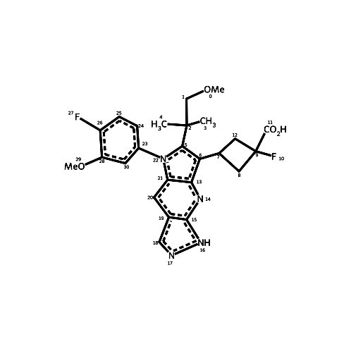 COCC(C)(C)c1c(C2CC(F)(C(=O)O)C2)c2nc3[nH]ncc3cc2n1-c1ccc(F)c(OC)c1